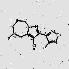 Cc1conc1-c1nn2c(c1Cl)CN(C)CCC2